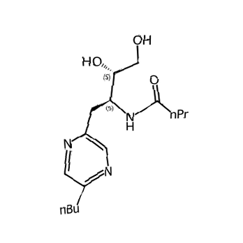 CCCCc1cnc(C[C@H](NC(=O)CCC)[C@H](O)CO)cn1